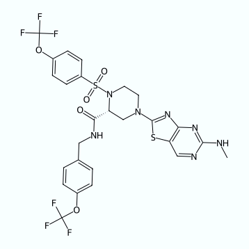 CNc1ncc2sc(N3CCN(S(=O)(=O)c4ccc(OC(F)(F)F)cc4)[C@@H](C(=O)NCc4ccc(OC(F)(F)F)cc4)C3)nc2n1